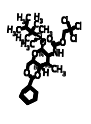 CC(C)C(C)(C)[Si](C)(C)O[C@@H]1OC2COC(c3ccccc3)O[C@H]2[C@H](C)C1NC(=O)OCC(Cl)(Cl)Cl